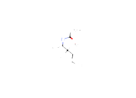 COC(=O)N[C@H](C(C)=O)[C@@](C)(C[SiH2]C)OC